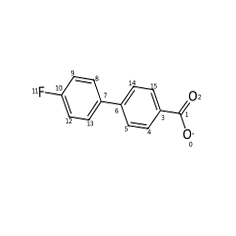 [O]C(=O)c1ccc(-c2ccc(F)cc2)cc1